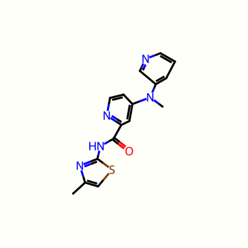 Cc1csc(NC(=O)c2cc(N(C)c3cccnc3)ccn2)n1